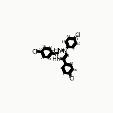 Clc1ccc(-c2cn(-c3ccc(Cl)cc3)[nH]n(-c3ccc(Cl)cc3)[nH]2)cc1